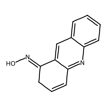 ON=C1CC=Cc2nc3ccccc3cc21